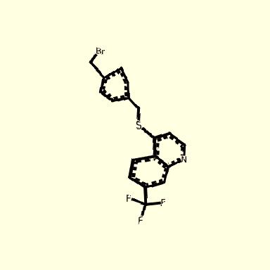 FC(F)(F)c1ccc2c(SCc3ccc(CBr)cc3)ccnc2c1